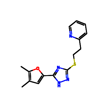 Cc1cc(-c2nc(SCCc3ccccn3)n[nH]2)oc1C